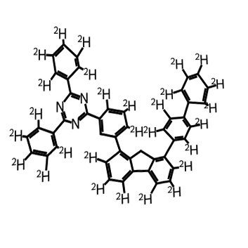 [2H]c1c(-c2nc(-c3c([2H])c([2H])c([2H])c([2H])c3[2H])nc(-c3c([2H])c([2H])c([2H])c([2H])c3[2H])n2)cc(-c2c([2H])c([2H])c([2H])c3c2Cc2c(-c4c([2H])c([2H])c(-c5c([2H])c([2H])c([2H])c([2H])c5[2H])c([2H])c4[2H])c([2H])c([2H])c([2H])c2-3)c([2H])c1[2H]